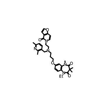 CCN1C(=O)C(C)(C)C(=O)N(C)c2cc(OCCCN(CCn3ccc4occc4c3=O)Cc3ccc(C)nc3C)ccc21